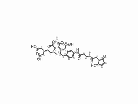 O=C(O)CN(CCN(CC(=O)O)C[C@@H](Cc1ccc(NC(=O)CCNC(=O)CN2C(=O)C=CC2O)cc1)N(CC(=O)O)CC(=O)O)CC(=O)O